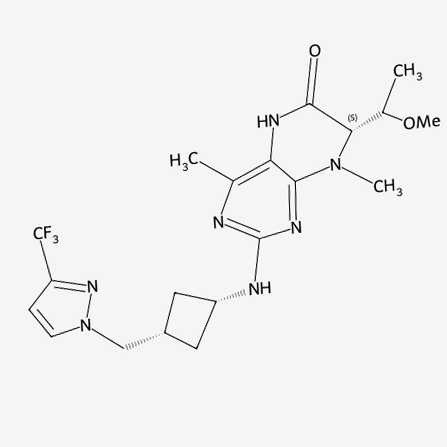 COC(C)[C@H]1C(=O)Nc2c(C)nc(N[C@H]3C[C@@H](Cn4ccc(C(F)(F)F)n4)C3)nc2N1C